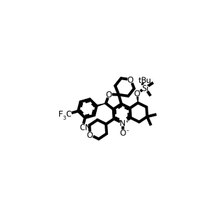 CC1(C)Cc2c(c3c(c(C4CCOCC4)[n+]2[O-])[C@@H](c2ccc(C(F)(F)F)c(C#N)c2)OC32CCOCC2)[C@@H](O[Si](C)(C)C(C)(C)C)C1